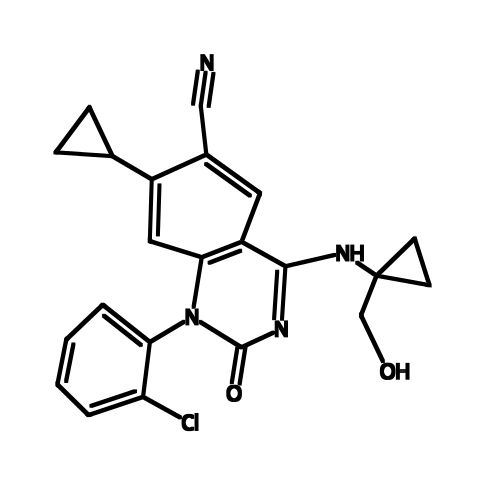 N#Cc1cc2c(NC3(CO)CC3)nc(=O)n(-c3ccccc3Cl)c2cc1C1CC1